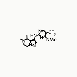 CNc1nc(Nc2cnn3c2C(C)N(C)CC3)ncc1C(F)(F)F